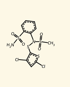 CS(=O)(=O)N(Sc1sc(Cl)cc1Cl)c1ccccc1S(N)(=O)=O